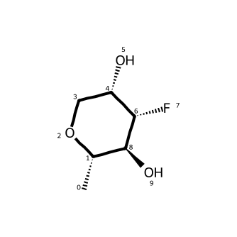 C[C@@H]1OC[C@H](O)[C@H](F)[C@H]1O